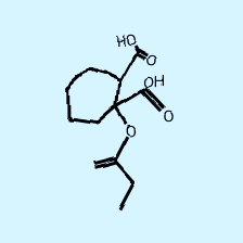 C=C(CC)OC1(C(=O)O)CCCCC1C(=O)O